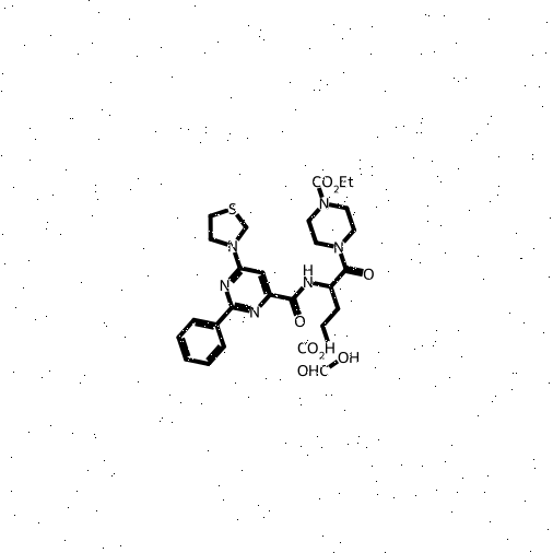 CCOC(=O)N1CCN(C(=O)C(CCC(=O)O)NC(=O)c2cc(N3CCSC3)nc(-c3ccccc3)n2)CC1.O=CO